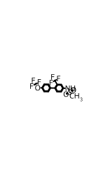 CS(=O)(=O)Nc1ccc(-c2ccc(OC(F)(F)F)cc2)c(C(F)(F)F)c1